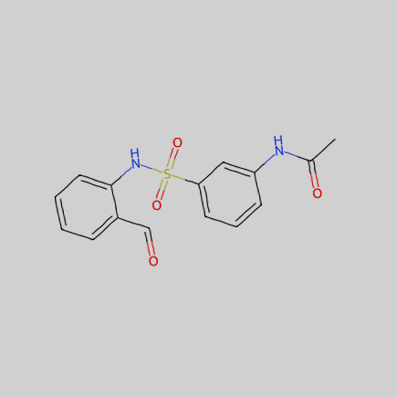 CC(=O)Nc1cccc(S(=O)(=O)Nc2ccccc2C=O)c1